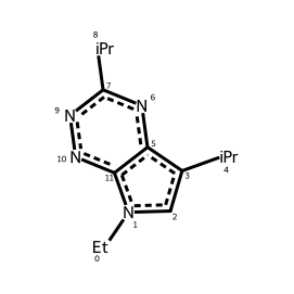 CCn1cc(C(C)C)c2nc(C(C)C)nnc21